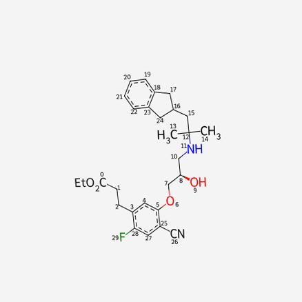 CCOC(=O)CCc1cc(OC[C@H](O)CNC(C)(C)CC2Cc3ccccc3C2)c(C#N)cc1F